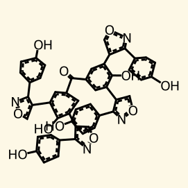 O=C(c1cc(-c2conc2-c2ccc(O)cc2)c(O)c(-c2conc2-c2ccc(O)cc2)c1)c1cc(-c2conc2-c2ccc(O)cc2)c(O)c(-c2conc2-c2ccc(O)cc2)c1